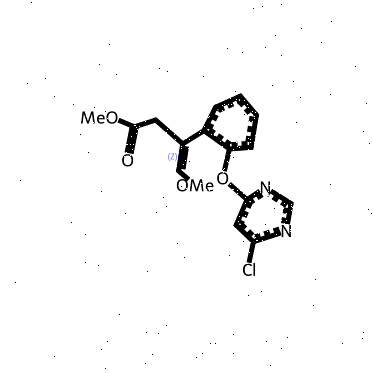 CO/C=C(/CC(=O)OC)c1ccccc1Oc1cc(Cl)ncn1